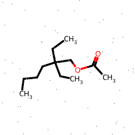 CCCCC(CC)(CC)COC(C)=O